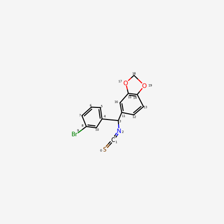 S=C=NC(c1cccc(Br)c1)c1ccc2c(c1)OCO2